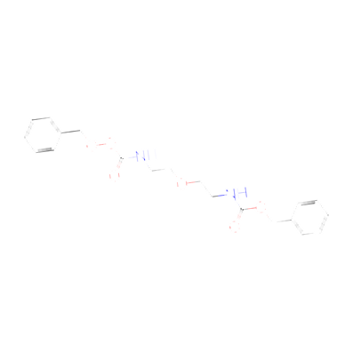 O=C(NCCOCCNC(=O)OOCc1ccccc1)OCc1ccccc1